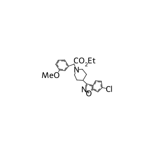 CCOC(=O)C(c1cccc(OC)c1)N1CCC(c2noc3cc(Cl)ccc23)CC1